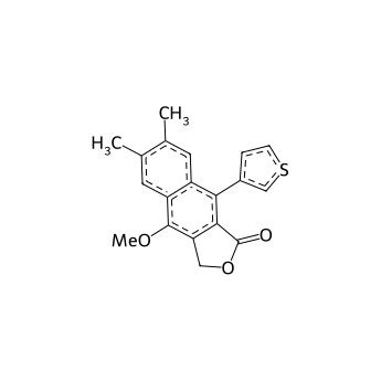 COc1c2c(c(-c3ccsc3)c3cc(C)c(C)cc13)C(=O)OC2